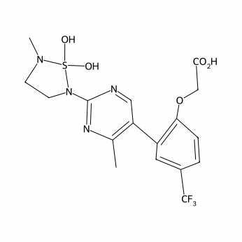 Cc1nc(N2CCN(C)S2(O)O)ncc1-c1cc(C(F)(F)F)ccc1OCC(=O)O